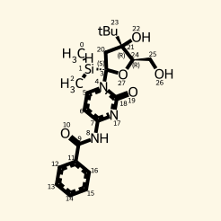 C[SiH](C)[C@]1(n2ccc(NC(=O)c3ccccc3)nc2=O)C[C@@](O)(C(C)(C)C)[C@@H](CO)O1